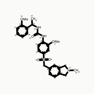 COc1cc(S(=O)(=O)Cc2ccc3c(c2)CN(C)C3)ccc1NC(=O)NC(C)c1ccccc1OC